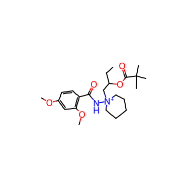 CCC(C[N+]1(NC(=O)c2ccc(OC)cc2OC)CCCCC1)OC(=O)C(C)(C)C